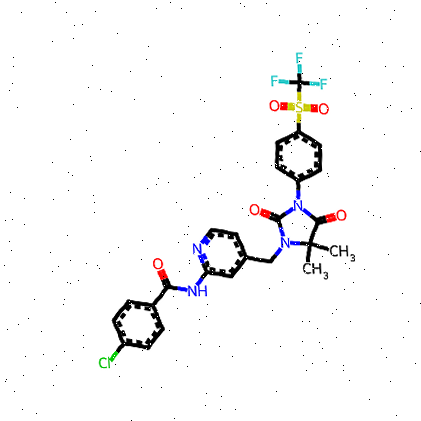 CC1(C)C(=O)N(c2ccc(S(=O)(=O)C(F)(F)F)cc2)C(=O)N1Cc1ccnc(NC(=O)c2ccc(Cl)cc2)c1